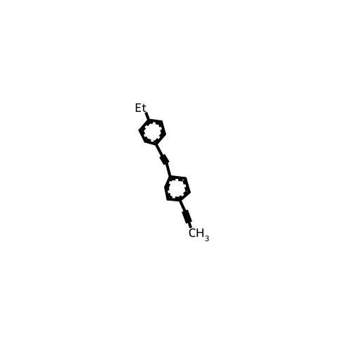 CC#Cc1ccc(C#Cc2ccc(CC)cc2)cc1